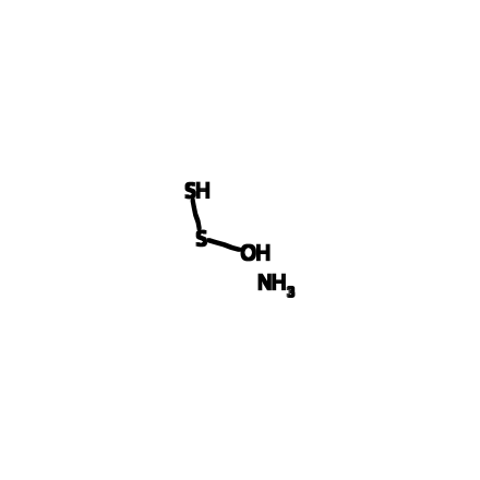 N.OSS